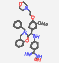 COc1cc([C@@H](Nc2ccc(C(=N)NO)cc2)C(=O)N(Cc2ccccc2)Cc2ccccc2)ccc1OCCN1CCOCC1